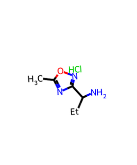 CCC(N)c1noc(C)n1.Cl